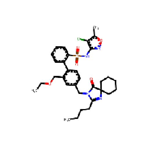 CCCCC1=NC2(CCCCC2)C(=O)N1Cc1ccc(-c2ccccc2S(=O)(=O)Nc2noc(C)c2Cl)c(COCC)c1